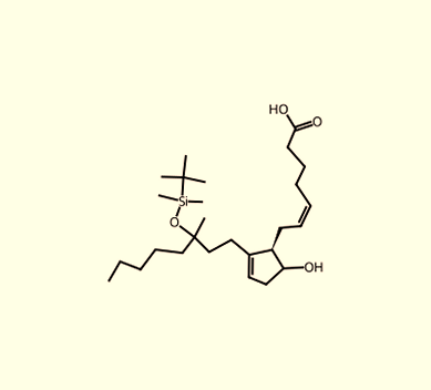 CCCCCC(C)(CCC1=CCC(O)[C@@H]1C/C=C\CCCC(=O)O)O[Si](C)(C)C(C)(C)C